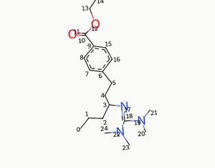 CCCC(CCc1ccc(C(=O)OCC)cc1)N=C(N(C)C)N(C)C